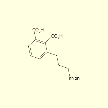 CCCCCCCCCCCCc1cccc(C(=O)O)c1C(=O)O